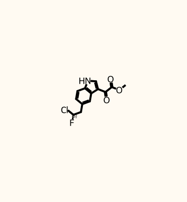 COC(=O)C(=O)c1c[nH]c2ccc(C[C@@H](F)Cl)cc12